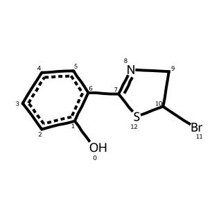 Oc1ccccc1C1=NCC(Br)S1